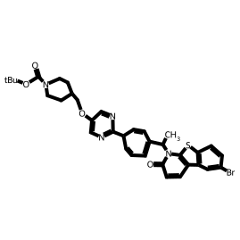 CC(C1=CC=CC(c2ncc(OCC3CCN(C(=O)OC(C)(C)C)CC3)cn2)C=C1)n1c(=O)ccc2c3cc(Br)ccc3sc21